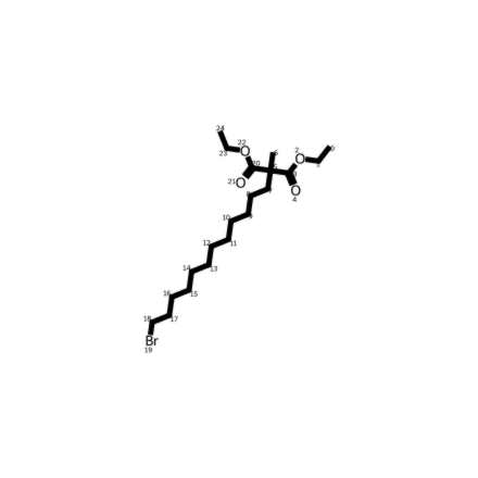 CCOC(=O)C(C)(CCCCCCCCCCCCBr)C(=O)OCC